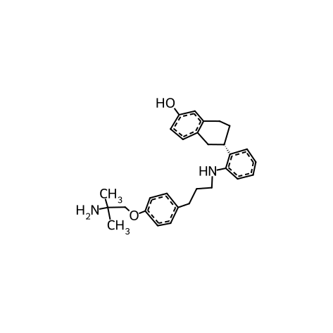 CC(C)(N)COc1ccc(CCCNc2ccccc2[C@H]2CCc3cc(O)ccc3C2)cc1